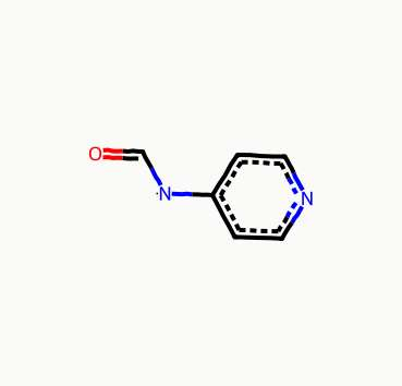 O=C[N]c1ccncc1